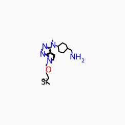 CN(c1ncnc2c1ccn2COCC[Si](C)(C)C)C1CCC(CN)CC1